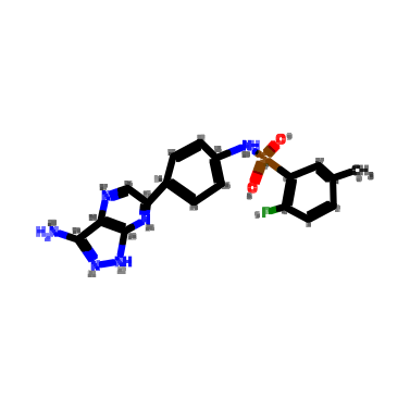 Cc1ccc(F)c(S(=O)(=O)Nc2ccc(-c3cnc4c(N)n[nH]c4n3)cc2)c1